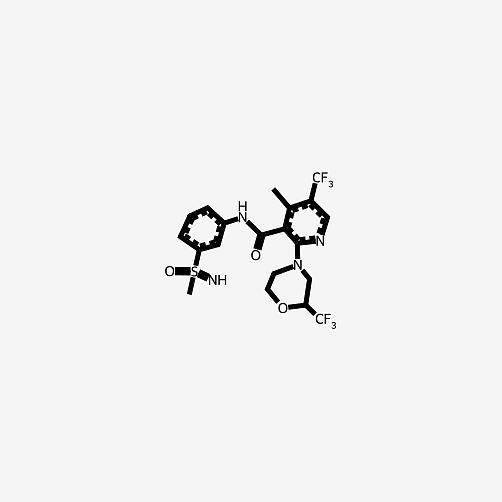 Cc1c(C(F)(F)F)cnc(N2CCOC(C(F)(F)F)C2)c1C(=O)Nc1cccc(S(C)(=N)=O)c1